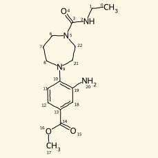 CCNC(=O)N1CCCN(c2ccc(C(=O)OC)cc2N)CC1